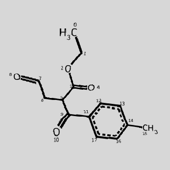 CCOC(=O)C(CC=O)C(=O)c1ccc(C)cc1